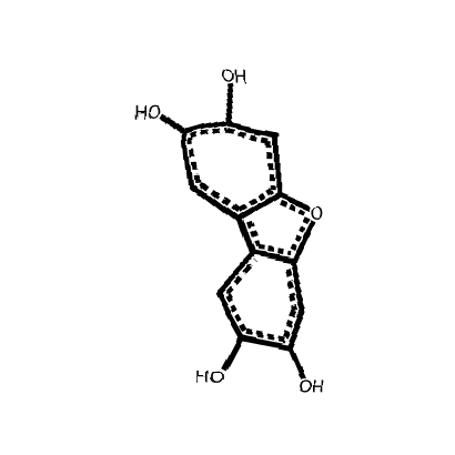 Oc1cc2oc3cc(O)c(O)cc3c2cc1O